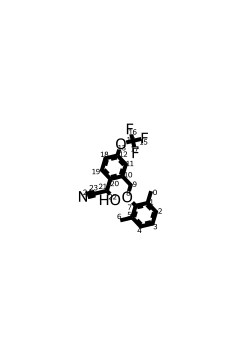 Cc1cccc(C)c1OCc1cc(OC(F)(F)F)ccc1C(O)C#N